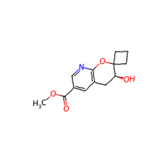 COC(=O)c1cnc2c(c1)C[C@H](O)C1(CCC1)O2